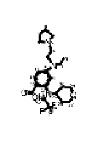 CCN(CCN1CCCC1)c1ccc(C(=O)O)c(N(C(=O)C(F)(F)F)C2CCOCC2)c1